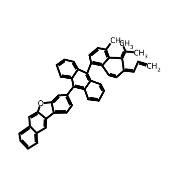 C=C/C=c1/ccc2c(-c3c4ccccc4c(-c4ccc5c(c4)oc4cc6ccccc6cc45)c4ccccc34)ccc(C)c2c1=C(C)C